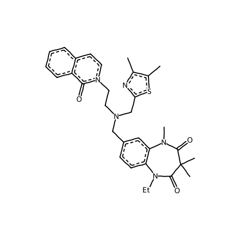 CCN1C(=O)C(C)(C)C(=O)N(C)c2cc(CN(CCn3ccc4ccccc4c3=O)Cc3nc(C)c(C)s3)ccc21